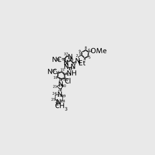 CCN(Cc1ccc(OC)cc1)c1nc(Nc2cc(C#N)cc(N3CC(N4CCN(C)CC4)C3)c2Cl)nn2c(C#N)cnc12